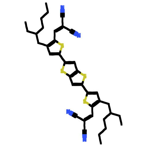 CCCCC(CC)Cc1cc(-c2cc3sc(-c4cc(CC(CC)CCCC)c(C=C(C#N)C#N)s4)cc3s2)sc1C=C(C#N)C#N